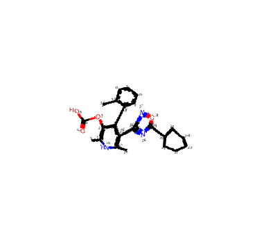 CC1=C(OC(=O)O)C(c2ccccc2C)C(c2noc(C3CCCCC3)n2)=C(C)N1